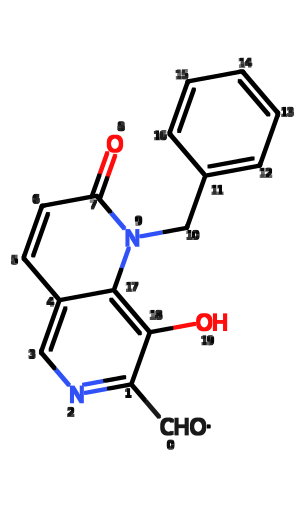 O=[C]c1ncc2ccc(=O)n(Cc3ccccc3)c2c1O